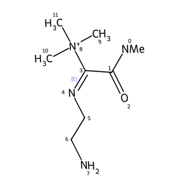 CNC(=O)/C(=N\CCN)[N+](C)(C)C